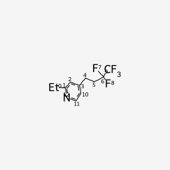 CCc1cc(CCC(F)(F)C(F)(F)F)ccn1